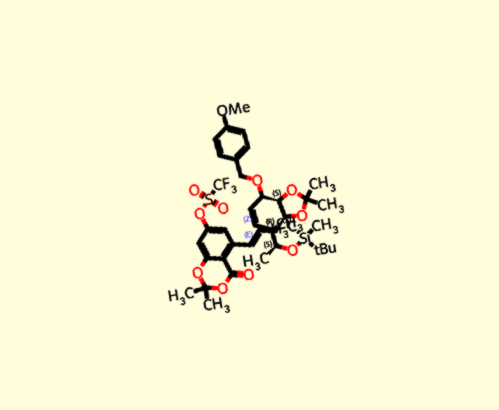 COc1ccc(COC(/C=C\[C@@H](C)[C@H](C)O[Si](C)(C)C(C)(C)C)[C@H]2OC(C)(C)O[C@H]2C/C=C/c2cc(OS(=O)(=O)C(F)(F)F)cc3c2C(=O)OC(C)(C)O3)cc1